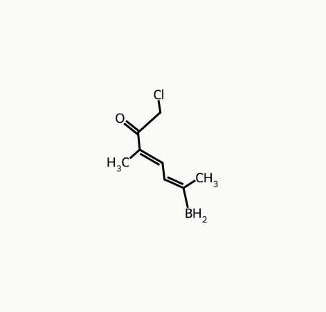 B/C(C)=C/C=C(\C)C(=O)CCl